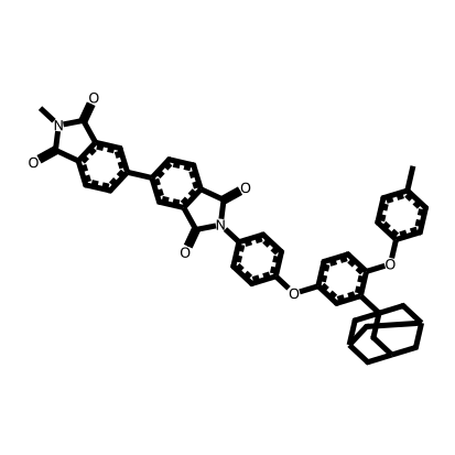 Cc1ccc(Oc2ccc(Oc3ccc(N4C(=O)c5ccc(-c6ccc7c(c6)C(=O)N(C)C7=O)cc5C4=O)cc3)cc2C23CC4CC(CC(C4)C2)C3)cc1